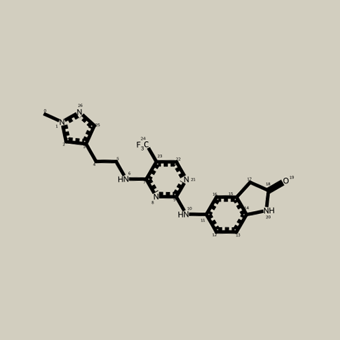 Cn1cc(CCNc2nc(Nc3ccc4c(c3)CC(=O)N4)ncc2C(F)(F)F)cn1